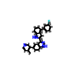 Cc1ccncc1-c1ccc2[nH]nc(-c3cc4c(-c5cccc(F)c5)cccc4[nH]3)c2c1